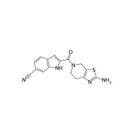 N#Cc1ccc2cc(C(=O)N3CCc4nc(N)sc4C3)[nH]c2c1